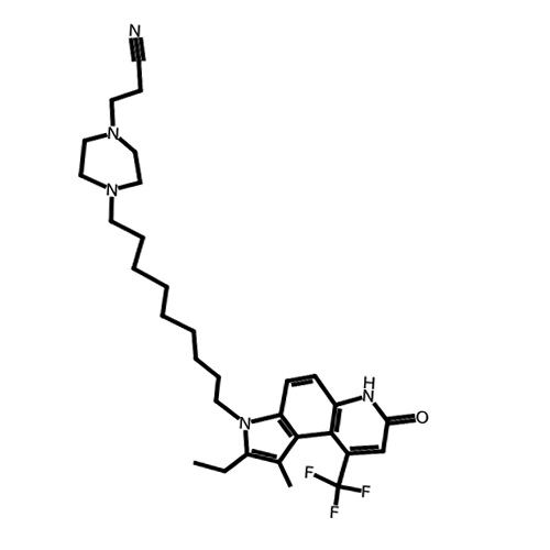 CCc1c(C)c2c3c(C(F)(F)F)cc(=O)[nH]c3ccc2n1CCCCCCCCCN1CCN(CCC#N)CC1